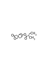 CCC(C)C(=O)OC1CC2CC1CC21COC(=O)C1